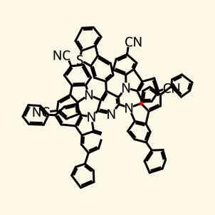 C=c1/c(=C\C(=C/C)c2ccccc2)c2cc(-c3ccccc3)ccc2n1-c1nc(-n2c3ccc(-c4ccccc4)cc3c3cc(-c4ccccc4)ccc32)c(-n2c3ccc(C#N)cc3c3cc(C#N)ccc32)c(-c2ccc3c(c2)sc2ccccc23)c1-n1c2ccc(C#N)cc2c2cc(C#N)ccc21